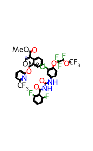 CO/C=C(/C(=O)OC)c1ccccc1COc1cccc(C(F)(F)F)n1.O=C(NC(=O)c1c(F)cccc1F)Nc1ccc(OC(F)(F)C(F)OC(F)(F)F)c(Cl)c1